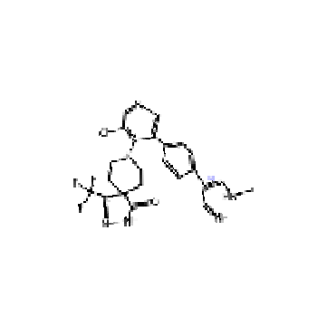 CN/C=C(\C=N)c1ccc(-c2cncc(Cl)c2N2CCC3(CC2)C(=O)NN=C3C(F)(F)F)cc1